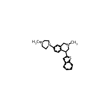 CN1CCN(c2ccc3c(c2)CN(C)CC3c2cc3ccccc3s2)CC1